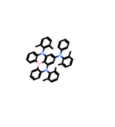 Cc1cccc(C)c1N(c1ccccc1)c1cc2c3c(c1)N(c1c(C)cccc1C)c1ccccc1B3c1ccccc1N2c1c(C)cccc1C